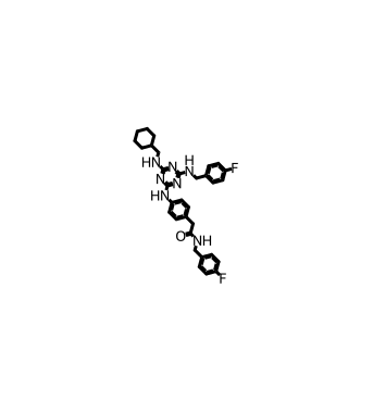 O=C(Cc1ccc(Nc2nc(NCc3ccc(F)cc3)nc(NCC3CCCCC3)n2)cc1)NCc1ccc(F)cc1